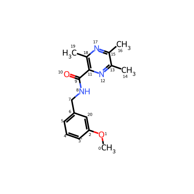 COc1[c]ccc(CNC(=O)c2nc(C)c(C)nc2C)c1